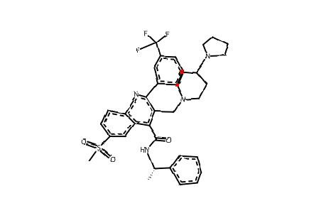 C[C@H](NC(=O)c1c(CN2CCC(N3CCCC3)CC2)c(-c2cccc(C(F)(F)F)c2)nc2ccc(S(C)(=O)=O)cc12)c1ccccc1